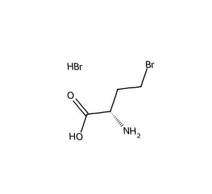 Br.N[C@@H](CCBr)C(=O)O